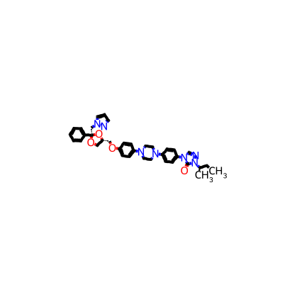 CC[C@@H](C)n1ncn(-c2ccc(N3CCN(c4ccc(OC[C@@H]5CO[C@@](Cn6cccn6)(c6ccccc6)O5)cc4)CC3)cc2)c1=O